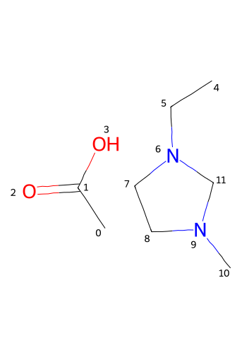 CC(=O)O.CCN1CCN(C)C1